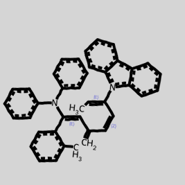 C=C(/C=C\C(=C/C)n1c2ccccc2c2ccccc21)/C=C(\c1ccccc1C)N(c1ccccc1)c1ccccc1